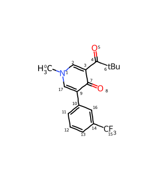 Cn1cc(C(=O)C(C)(C)C)c(=O)c(-c2cccc(C(F)(F)F)c2)c1